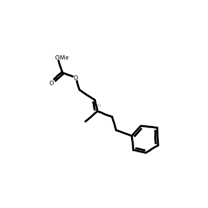 COC(=O)OC/C=C(\C)CCc1ccccc1